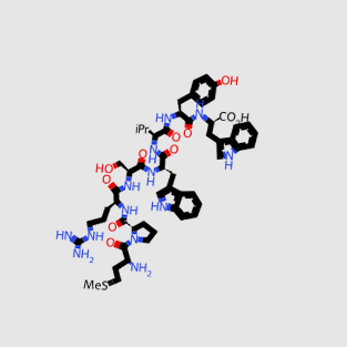 CSCC[C@H](N)C(=O)N1CCC[C@H]1C(=O)N[C@@H](CCCNC(=N)N)C(=O)N[C@@H](CO)C(=O)N[C@@H](Cc1c[nH]c2ccccc12)C(=O)N[C@H](C(=O)N[C@@H](Cc1ccc(O)cc1)C(=O)N[C@@H](Cc1c[nH]c2ccccc12)C(=O)O)C(C)C